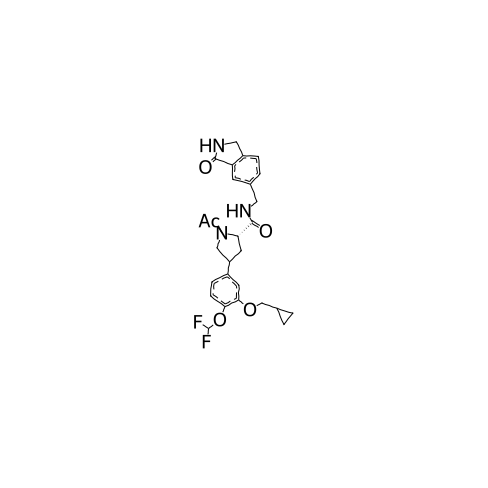 CC(=O)N1CC(c2ccc(OC(F)F)c(OCC3CC3)c2)C[C@H]1C(=O)NCc1ccc2c(c1)C(=O)NC2